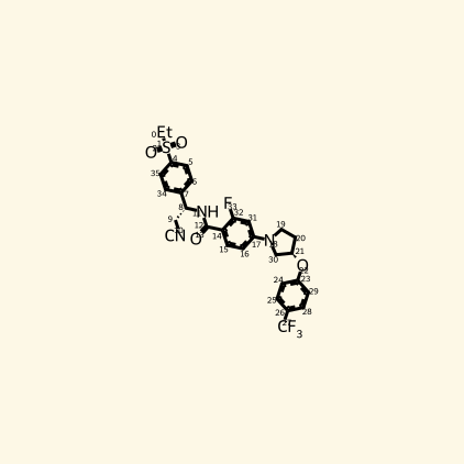 CCS(=O)(=O)c1ccc([C@@H](CC#N)NC(=O)c2ccc(N3CC[C@H](Oc4ccc(C(F)(F)F)cc4)C3)cc2F)cc1